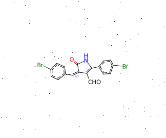 O=CC1=C(c2ccc(Br)cc2)NC(=O)/C1=C\c1ccc(Br)cc1